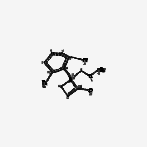 CCCCOC[N+]1(c2c(CC)cccc2CC)CC=C1Cl